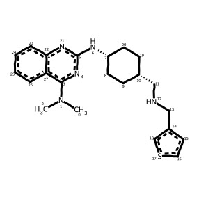 CN(C)c1nc(N[C@H]2CC[C@@H](CNCc3ccsc3)CC2)nc2ccccc12